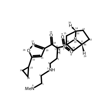 CNCCNCCCS(=O)(=O)N1[C@@H]2CC[C@H]1C[C@@H](NC(=O)c1cc(C3CC3)on1)C2